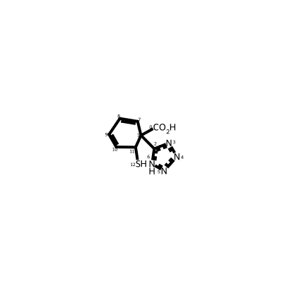 O=C(O)C1(c2nnn[nH]2)C=CC=CC1S